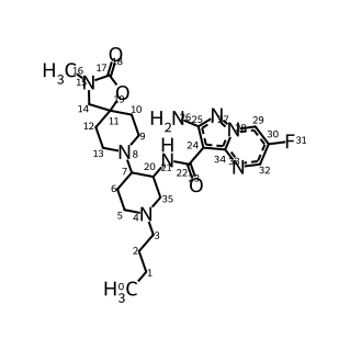 CCCCN1CCC(N2CCC3(CC2)CN(C)C(=O)O3)C(NC(=O)c2c(N)nn3cc(F)cnc23)C1